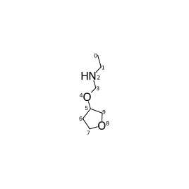 CCNCOC1CCOC1